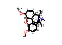 [2H]OC1C=C[C@@H]2[C@@]34CCN(C)[C@]2([2H])C([2H])([2H])c2ccc(OC)c(c23)OC14